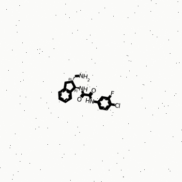 NC[C@H]1Cc2ccccc2[C@@H]1NC(=O)C(=O)Nc1ccc(Cl)c(F)c1